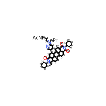 C=c1c2ccc3c4ccc5c6c(ccc(c7c(-c8ccc(N(CCC)CCNC(C)=O)nc8)cc(c(=O)n1C1CCCCC1)c2c37)c64)C(=O)N(C1CCCCC1)C5=O